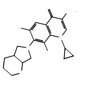 O=C(O)c1cn(C2CC2)c2c(Cl)c(N3CC4CCCNC4C3)c(F)cc2c1=O